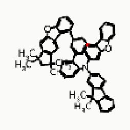 CC1(C)CC(C)(C)c2cc3c(cc21)oc1cccc(-c2cccc(-c4ccccc4N(c4ccc5c(c4)C(C)(C)c4ccccc4-5)c4ccc5c(c4)oc4ccccc45)c2)c13